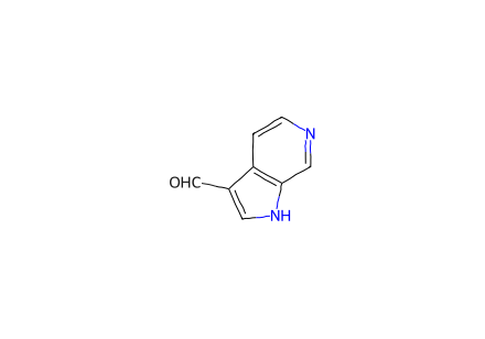 O=Cc1c[nH]c2cnccc12